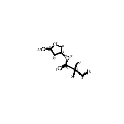 CC(C)(CI)C(=O)OC1COC(=O)C1